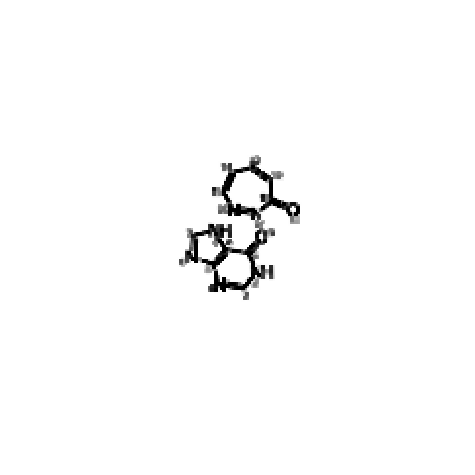 O=c1[nH]cnc2nc[nH]c12.O=c1ccccnn1